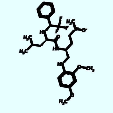 COc1ccc(NC[C@H](CC[S+](C)[O-])NC(=O)[C@H](CC(C)C)N[C@@H](c2ccccc2)C(F)(F)F)c(OC)c1